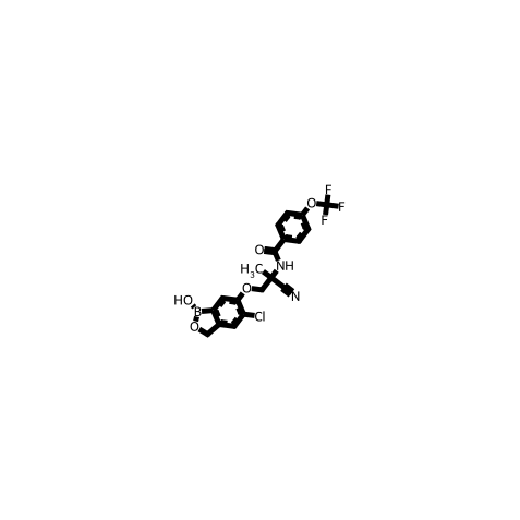 CC(C#N)(COc1cc2c(cc1Cl)COB2O)NC(=O)c1ccc(OC(F)(F)F)cc1